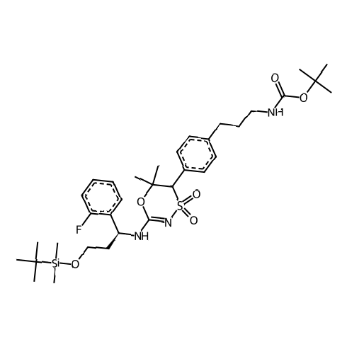 CC(C)(C)OC(=O)NCCCc1ccc(C2C(C)(C)OC(N[C@@H](CCO[Si](C)(C)C(C)(C)C)c3ccccc3F)=NS2(=O)=O)cc1